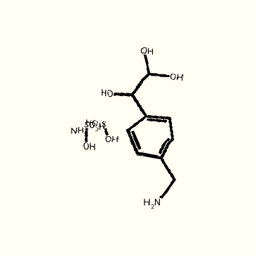 N.NCc1ccc(C(O)C(O)O)cc1.O=S(=O)(O)O.O=S(=O)(O)O